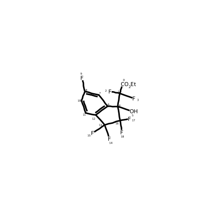 CCOC(=O)C(F)(F)C1(O)c2cc(F)ccc2C(F)(F)C1(F)F